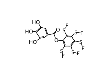 O=C(Oc1c(SF)c(SF)c(SF)c(SF)c1SF)c1cc(O)c(O)c(O)c1